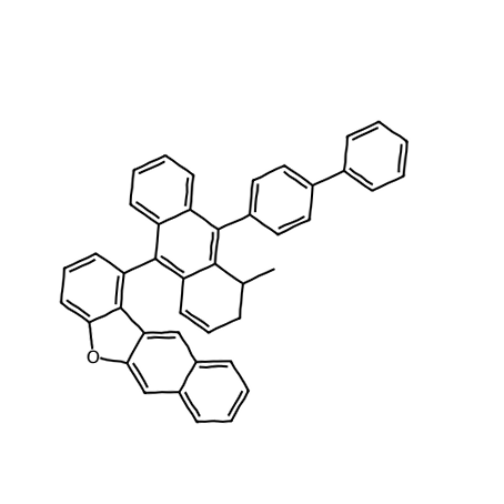 CC1CC=Cc2c1c(-c1ccc(-c3ccccc3)cc1)c1ccccc1c2-c1cccc2oc3cc4ccccc4cc3c12